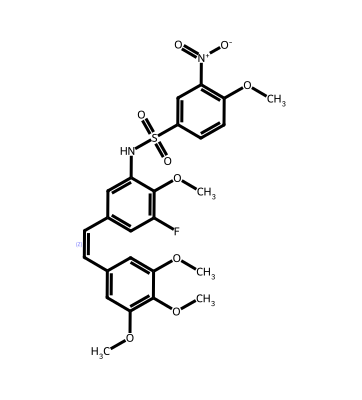 COc1ccc(S(=O)(=O)Nc2cc(/C=C\c3cc(OC)c(OC)c(OC)c3)cc(F)c2OC)cc1[N+](=O)[O-]